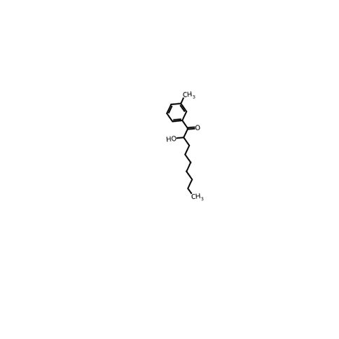 CCCCCCCC(O)C(=O)c1cccc(C)c1